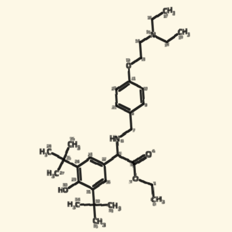 CCOC(=O)C(NCc1ccc(OCCN(CC)CC)cc1)c1cc(C(C)(C)C)c(O)c(C(C)(C)C)c1